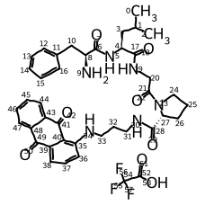 CC(C)C[C@H](NC(=O)[C@@H](N)Cc1ccccc1)C(=O)NCC(=O)N1CCC[C@@H]1C(=O)NCCCNc1cccc2c1C(=O)c1ccccc1C2=O.O=C(O)C(F)(F)F